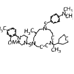 COc1cc(C)ccc1N1CCN(SN2CCCN(C(C)C3CCCCC3)CCCN(Sc3ccc(N(C)C)cc3)CC(C)C2)CC1